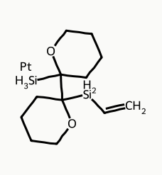 C=C[SiH2]C1(C2([SiH3])CCCCO2)CCCCO1.[Pt]